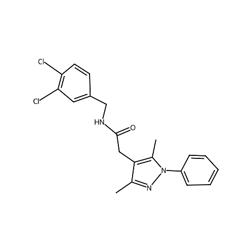 Cc1nn(-c2ccccc2)c(C)c1CC(=O)NCc1ccc(Cl)c(Cl)c1